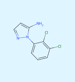 Nc1ccnn1-c1cccc(Cl)c1Cl